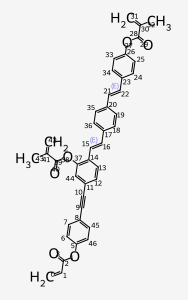 C=CC(=O)Oc1ccc(C#Cc2ccc(/C=C/c3ccc(/C=C/c4ccc(OC(=O)C(=C)C)cc4)cc3)c(OC(=O)C(=C)C)c2)cc1